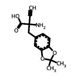 C#CC(N)(Cc1ccc2c(c1)OC(C)(C)O2)C(=O)O